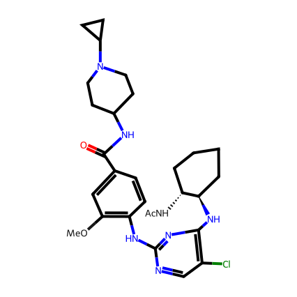 COc1cc(C(=O)NC2CCN(C3CC3)CC2)ccc1Nc1ncc(Cl)c(N[C@@H]2CCCC[C@H]2NC(C)=O)n1